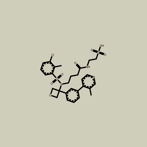 Cc1cnccc1-c1cccc(C2(N(CCCC(=O)NCCS(=O)(=O)O)S(=O)(=O)c3cccc(Cl)c3C)COC2)c1